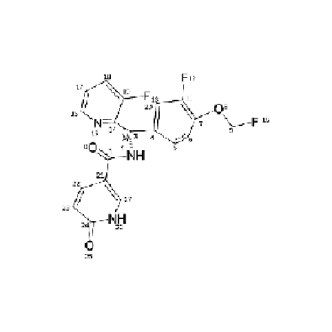 O=C(N[C@@H](c1ccc(OCF)c(F)c1)c1ncccc1F)c1ccc(=O)[nH]c1